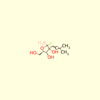 B[C@]1(F)O[C@H](CO)[C@H](O)C1(O)C=C=C(C)C